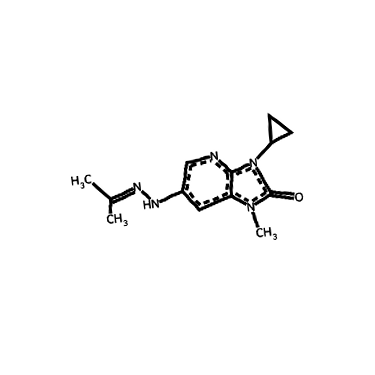 CC(C)=NNc1cnc2c(c1)n(C)c(=O)n2C1CC1